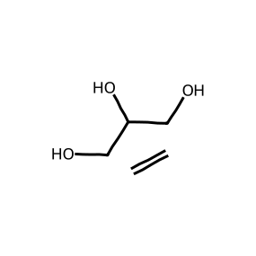 C=C.OCC(O)CO